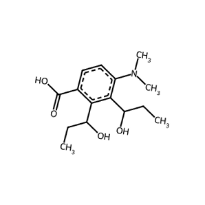 CCC(O)c1c(C(=O)O)ccc(N(C)C)c1C(O)CC